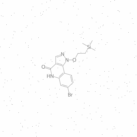 C[Si](C)(C)CCOn1ncc2c(=O)[nH]c3cc(Br)ccc3c21